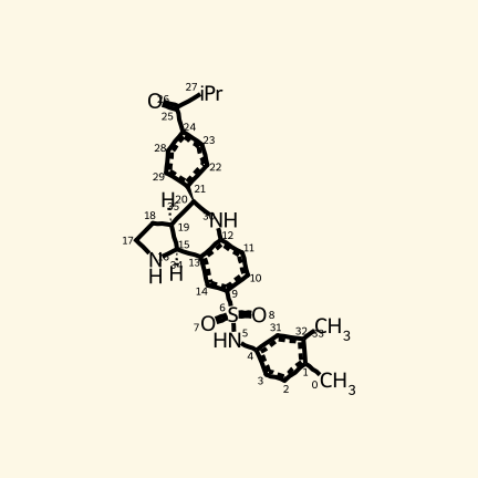 Cc1ccc(NS(=O)(=O)c2ccc3c(c2)[C@H]2NCC[C@H]2[C@@H](c2ccc(C(=O)C(C)C)cc2)N3)cc1C